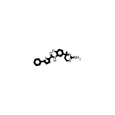 CC1(c2ccc(F)c(NC(=O)c3ccc(-c4ccccc4)s3)c2)CCSC(N)=N1